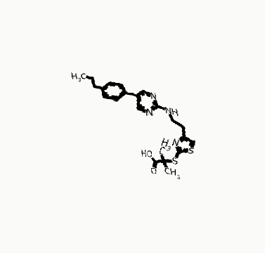 CCCc1ccc(-c2cnc(NCCc3csc(SC(C)(C)C(=O)O)n3)nc2)cc1